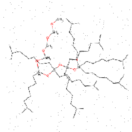 CC(C)CCCCC[SiH](O[SiH2]O[SiH2]O[SiH2]O[SiH3])O[Si](CCCCCC(C)C)(CCCCCC(C)C)O[Si](CCCCCC(C)C)(CCCCCC(C)C)O[Si](CCCCCC(C)C)(CCCCCC(C)C)CCCCCC(C)C